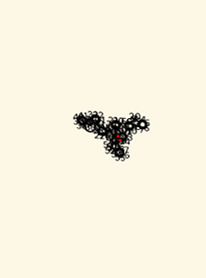 CC1(C)c2ccccc2-c2cc(-c3ccccc3-c3ccccc3N(c3cccc(-c4cccc5c4oc4ccccc45)c3)c3ccc4c(c3)C(C)(C)c3ccccc3-4)ccc21